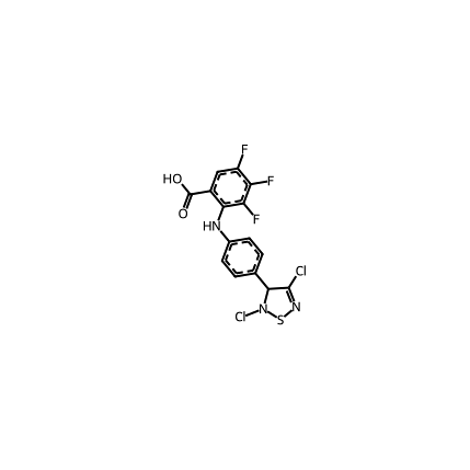 O=C(O)c1cc(F)c(F)c(F)c1Nc1ccc(C2C(Cl)=NSN2Cl)cc1